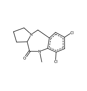 CN1C(=O)C2CCCN2Cc2cc(Cl)cc(Cl)c21